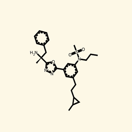 CCCN(c1cc(CCC2CC2C)cc(-c2nnc([C@](C)(N)Cc3ccccc3)o2)c1)S(C)(=O)=O